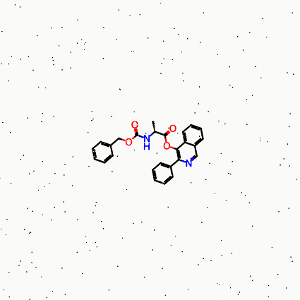 C[C@H](NC(=O)OCc1ccccc1)C(=O)Oc1c(-c2ccccc2)ncc2ccccc12